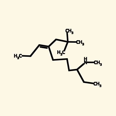 CC/C=C(\CCCC(CC)NC)CC(C)(C)C